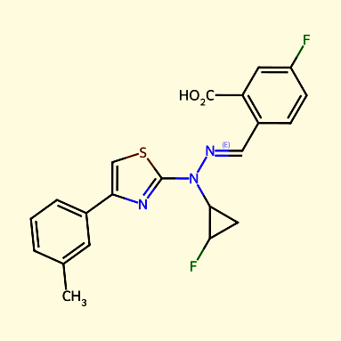 Cc1cccc(-c2csc(N(/N=C/c3ccc(F)cc3C(=O)O)C3CC3F)n2)c1